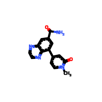 Cn1ccc(-c2cc(C(N)=O)cc3nccnc23)cc1=O